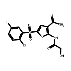 CCc1ccc(F)cc1S(=O)(=O)c1cc(C(N)=O)c(NC(=O)CO)s1